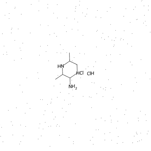 CC1CCC(N)C(C)N1.Cl.Cl